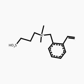 C=Cc1ccccc1C[N+](C)(C)CCCS(=O)(=O)O